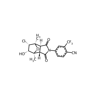 C[C@]12O[C@](C)([C@H](O)[C@@H]1Cl)[C@H]1C(=O)N(c3ccc(C#N)c(C(F)(F)F)c3)C(=O)[C@@H]12